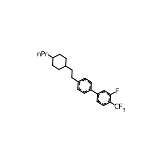 CCCC1CCC(CCc2ccc(-c3ccc(C(F)(F)F)c(F)c3)cc2)CC1